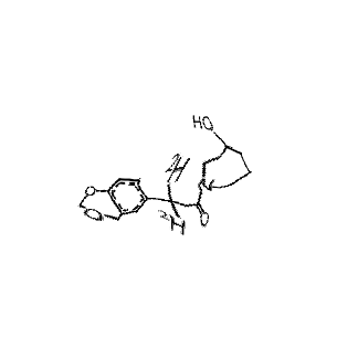 [2H]C([2H])(C(=O)N1CCCC(O)C1)c1ccc2c(c1)OCO2